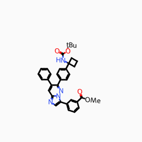 COC(=O)c1cccc(-c2cnc3cc(-c4ccccc4)c(-c4ccc(C5(NC(=O)OC(C)(C)C)CCC5)cc4)nn23)c1